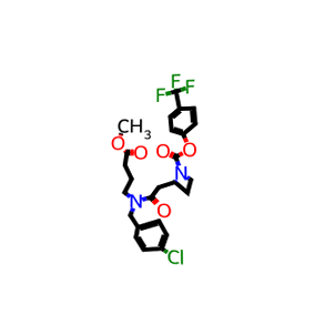 COC(=O)CCCN(Cc1ccc(Cl)cc1)C(=O)CC1CCN1C(=O)Oc1ccc(C(F)(F)F)cc1